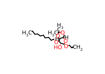 C=CCOC1O[C@@H]2COC(C)(C)O[C@H]2[C@H](OCCCCCCCCCC)[C@H]1O